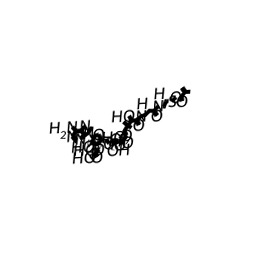 C=C(C)C(=O)OSCCNC(=O)CCNC(=O)C(O)C(C)(C)COP(=O)(O)OP(=O)(O)OC[C@H]1O[C@@H](n2cnc3c(N)ncnc32)[C@H](O)[C@@H]1OP(=O)(O)O